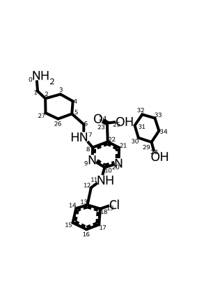 NCC1CCC(CNc2nc(NCc3ccccc3Cl)ncc2C(=O)O)CC1.OC1CCCCC1